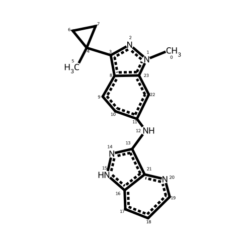 Cn1nc(C2(C)CC2)c2ccc(Nc3n[nH]c4cccnc34)cc21